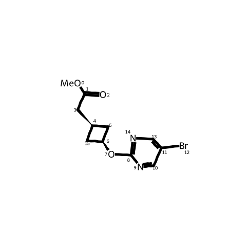 COC(=O)C[C@H]1C[C@@H](Oc2ncc(Br)cn2)C1